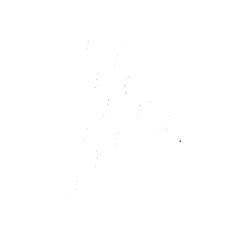 CC(C)CCN1CCN(c2cc3c(cc2C2=CCC(C(C)(C)C)CC2)N(C)CCO3)CC1.Cl